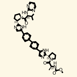 COC(=O)N[C@@H](C)C(=O)N1CCC[C@H]1c1ncc(-c2ccc(-c3ccc(-c4cnc([C@@H]5CCCN5C(=O)[C@H](Nc5ncccn5)C(C)C)[nH]4)cc3)cc2)[nH]1